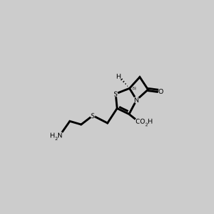 NCCSCC1=C(C(=O)O)N2C(=O)C[C@@H]2S1